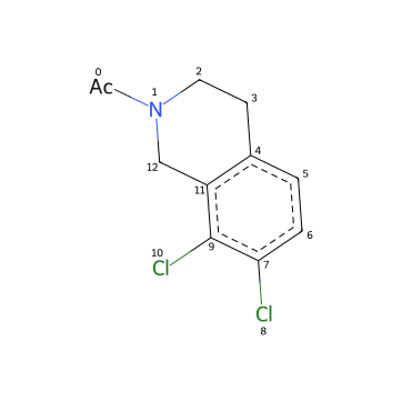 CC(=O)N1CCc2ccc(Cl)c(Cl)c2C1